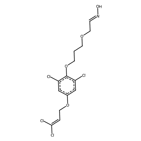 ON=CCOCCCOc1c(Cl)cc(OCC=C(Cl)Cl)cc1Cl